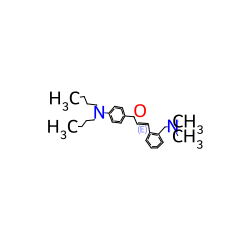 CCCCN(CCCC)c1ccc(C(=O)/C=C/c2ccccc2CN(C)C)cc1